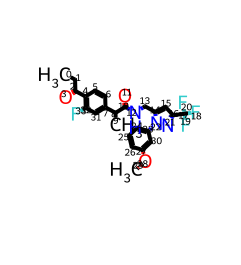 CCC(=O)c1ccc(C(C)C(=O)NCc2cc(C(F)(F)F)nn2-c2cccc(OC)c2)cc1F